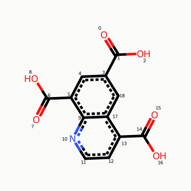 O=C(O)c1cc(C(=O)O)c2nccc(C(=O)O)c2c1